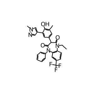 CCN1C(=O)C(c2cc(C)c(O)c(-c3cnn(C)c3)c2)C(=O)N(c2ccccc2)c2cc(C(F)(F)F)ccc21